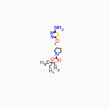 CC(C)(C)OC(=O)N1CC[C@@H](COc2nnc(N)s2)C1